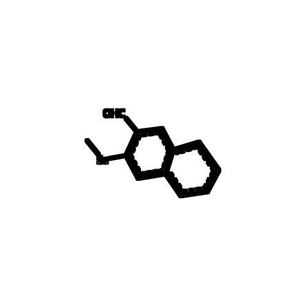 C[Se]c1cc2ccccc2cc1C=O